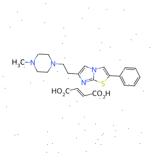 CN1CCN(CCc2cn3cc(-c4ccccc4)sc3n2)CC1.O=C(O)C=CC(=O)O